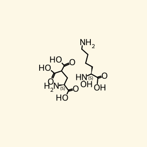 NCCCC[C@H](NO)C(=O)O.N[C@@H](CC(C(=O)O)C(=O)O)C(=O)O